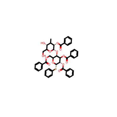 CC1[C@@H](O)C(CO)O[C@@H](O[C@@H]2C(COC(=O)c3ccccc3)O[C@@H](Sc3ccccc3)[C@@H](OC(=O)c3ccccc3)C2OC(=O)c2ccccc2)[C@H]1OC(=O)c1ccccc1